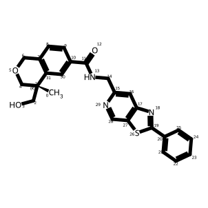 C[C@@]1(CO)COCc2ccc(C(=O)NCc3cc4nc(-c5ccccc5)sc4cn3)cc21